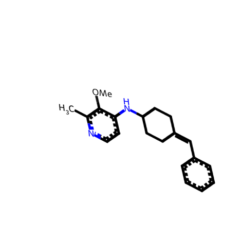 COc1c(NC2CCC(=Cc3ccccc3)CC2)ccnc1C